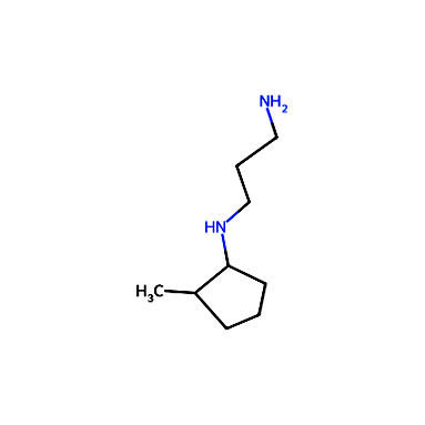 CC1CCCC1NCCCN